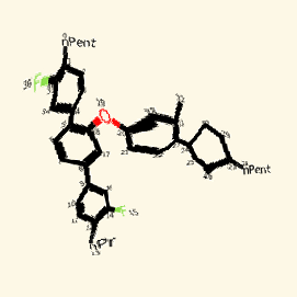 CCCCCc1ccc(-c2ccc(-c3ccc(CCC)c(F)c3)cc2Oc2ccc(C3CCC(CCCCC)CC3)c(C)c2)cc1F